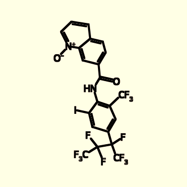 O=C(Nc1c(I)cc(C(F)(C(F)(F)F)C(F)(F)C(F)(F)F)cc1C(F)(F)F)c1ccc2ccc[n+]([O-])c2c1